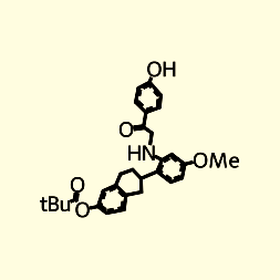 COc1ccc(C2CCc3cc(OC(=O)C(C)(C)C)ccc3C2)c(NCC(=O)c2ccc(O)cc2)c1